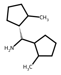 CC1CCCC1C(N)[C@@H]1CCCC1C